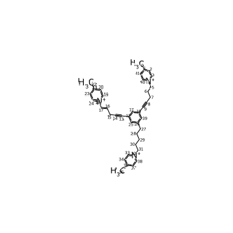 Cc1cc[n+](CCCC#Cc2cc(C#CCCC[n+]3ccc(C)cc3)cc(CCCCC[n+]3ccc(C)cc3)c2)cc1